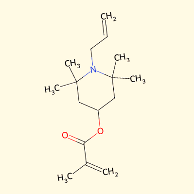 C=CCN1C(C)(C)CC(OC(=O)C(=C)C)CC1(C)C